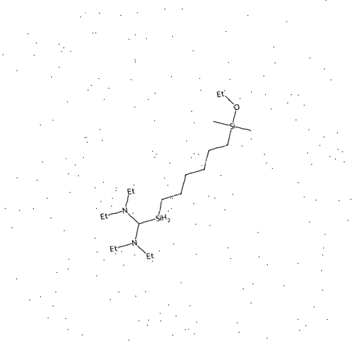 CCO[Si](C)(C)CCCCCC[SiH2]C(N(CC)CC)N(CC)CC